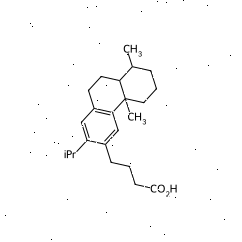 CC(C)c1cc2c(cc1CCCC(=O)O)C1(C)CCCC(C)C1CC2